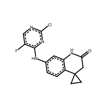 O=C1CC2(CC2)c2ccc(Nc3nc(Cl)ncc3F)cc2N1